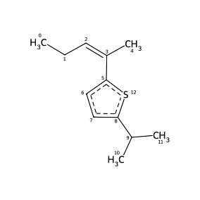 CC/C=C(/C)c1ccc(C(C)C)s1